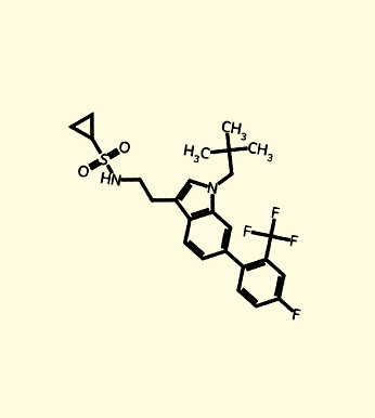 CC(C)(C)Cn1cc(CCNS(=O)(=O)C2CC2)c2ccc(-c3ccc(F)cc3C(F)(F)F)cc21